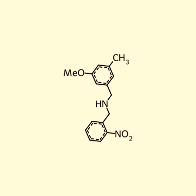 COc1cc(C)cc(CNCc2ccccc2[N+](=O)[O-])c1